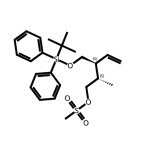 C=C[C@H](CO[Si](c1ccccc1)(c1ccccc1)C(C)(C)C)[C@H](C)COS(C)(=O)=O